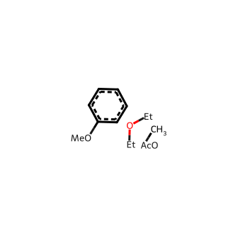 CCOCC.COC(C)=O.COc1ccccc1